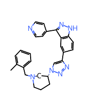 Cc1ccccc1CN1CCC[C@@H](n2cc(-c3ccc4[nH]nc(-c5ccncc5)c4c3)nn2)C1